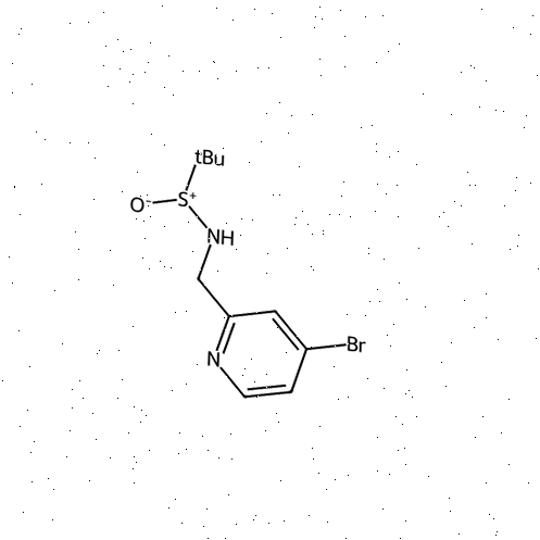 CC(C)(C)[S+]([O-])NCc1cc(Br)ccn1